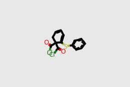 O=C(Cl)C1(C(=O)Cl)CC=CC=C1Sc1ccccc1